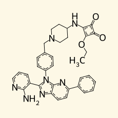 CCOc1c(NC2CCN(Cc3ccc(-n4c(-c5cccnc5N)nc5ccc(-c6ccccc6)nc54)cc3)CC2)c(=O)c1=O